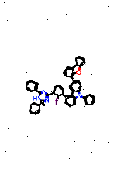 CC1(c2ccccc2)N=C(C2=CC=CC(c3cccc4c3c3cc(-c5cccc6c5oc5ccccc56)ccc3n4-c3ccccc3)C2I)N=C(c2ccccc2)N1